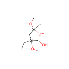 CC[Si](CO)(C[Si](C)(OC)OC)OC